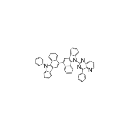 c1ccc(-c2nc(-n3c4ccccc4c4cc(-c5cc6c7ccccc7n(-c7ccccc7)c6c6ccccc56)c5ccccc5c43)nc3cccnc23)cc1